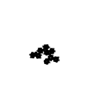 c1ccc(-c2cc(-c3ccccc3)nc(-n3c4ccccc4c4c5c6ccccc6n(-c6cccc(-c7cccc8c7oc7ccccc78)n6)c5ccc43)n2)cc1